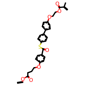 C=COC(=O)CCCOc1ccc(C(=O)Sc2ccc(-c3ccc(OCCOC(=O)C(=C)C)cc3)cc2)cc1